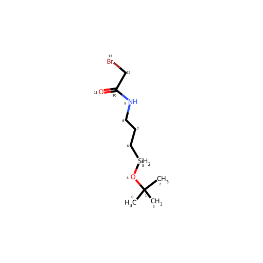 CC(C)(C)O[SiH2]CCCNC(=O)CBr